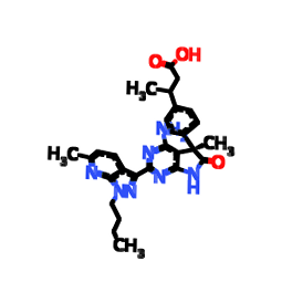 CCCCn1nc(-c2nc(N)c3c(n2)NC(=O)[C@@]3(C)c2ccc(C(C)CC(=O)O)cc2)c2ccc(C)nc21